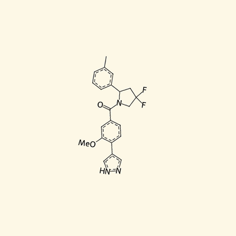 COc1cc(C(=O)N2CC(F)(F)CC2c2cccc(C)c2)ccc1-c1cn[nH]c1